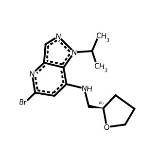 CC(C)n1ncc2nc(Br)cc(NC[C@H]3CCCO3)c21